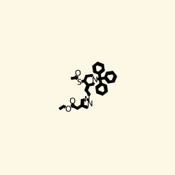 CCOC(=O)Cc1cnn(C/C=C2\CN(C(c3ccccc3)(c3ccccc3)c3ccccc3)CCC2SC(C)=O)c1